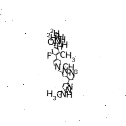 [2H]C([2H])([2H])N(C(=O)c1cc(C)c(C2=CCN(Cc3cc4c(-c5ccc(NC)nn5)ccnc4n3C)CC2)c(F)c1)C([2H])([2H])[2H]